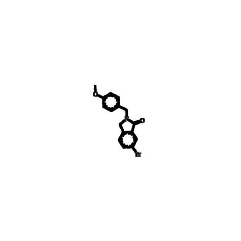 COc1ccc(CN2Cc3ccc(Br)cc3C2=O)cc1